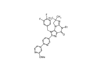 CCN1C(=O)c2nc(-c3ccc(-c4ccnc(OC)c4)nc3)n(Cc3ccc(F)c(F)c3)c2N2CC(C)(C)N=C12